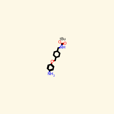 CC(C)(C)OC(=O)NCC1CCC(COc2ccc(N)cc2)CC1